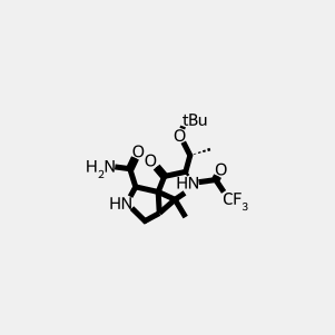 C[C@@H](OC(C)(C)C)[C@H](NC(=O)C(F)(F)F)C(=O)C12C(C(N)=O)NCC1C2(C)C